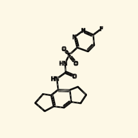 O=C(Nc1c2c(cc3c1CCC3)CCC2)NS(=O)(=O)c1ccc(F)nn1